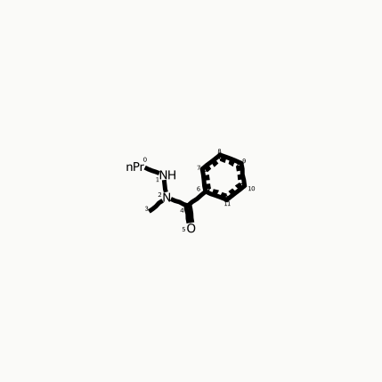 CCCNN(C)C(=O)c1ccccc1